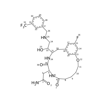 NC(=O)CC1NC(=O)CCCCOc2cc(F)cc(c2)CC(C(O)CNCc2cccc(C(F)(F)F)c2)NC1=O